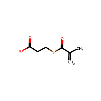 C=C(C)C(=O)SCCC(=O)O